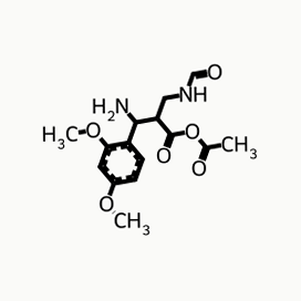 COc1ccc(C(N)C(CNC=O)C(=O)OC(C)=O)c(OC)c1